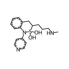 CNCCCC1Cc2ccccc2N(c2ccncc2)S1(O)O